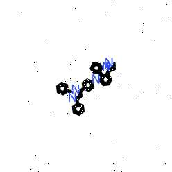 c1ccc(-c2cc(-c3ccc(-n4c5cccc6c5c5c4cccc5n4nccc64)cc3)nc(-c3ccccc3)n2)cc1